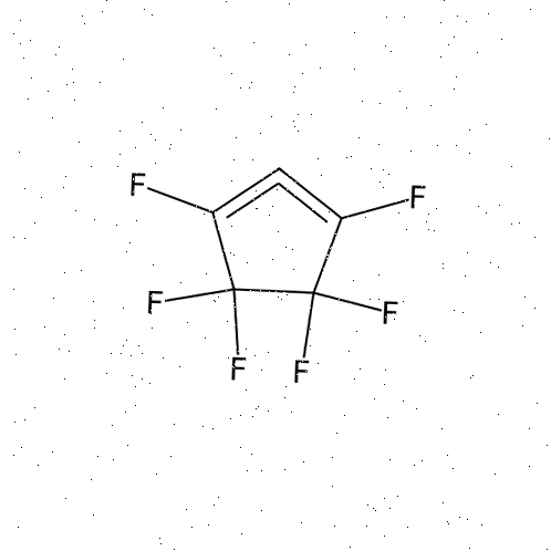 FC1=C=C(F)C(F)(F)C1(F)F